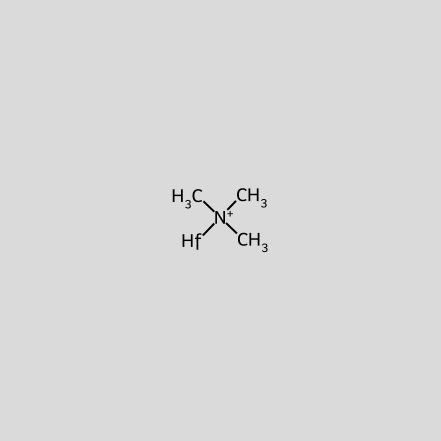 C[N+](C)(C)[Hf]